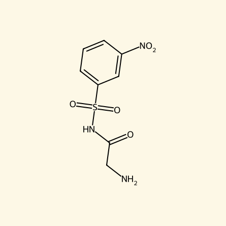 NCC(=O)NS(=O)(=O)c1cccc([N+](=O)[O-])c1